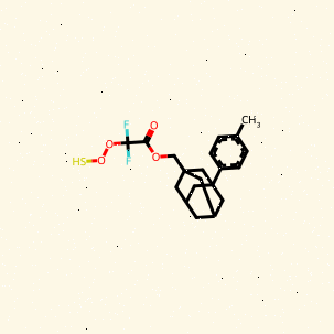 Cc1ccc(C23CC4CC(CC(COC(=O)C(F)(F)OOS)(C4)C2)C3)cc1